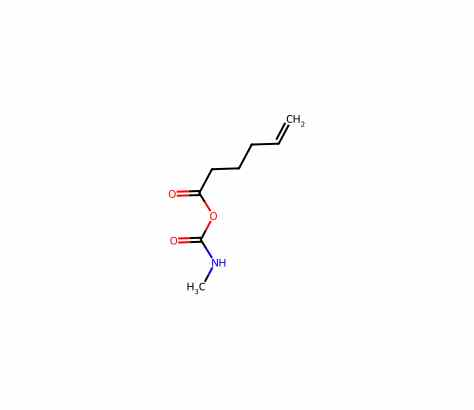 C=CCCCC(=O)OC(=O)NC